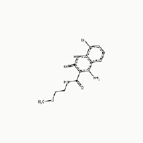 COCCNC(=O)c1c(N)c2cccc(Br)c2[nH]c1=O